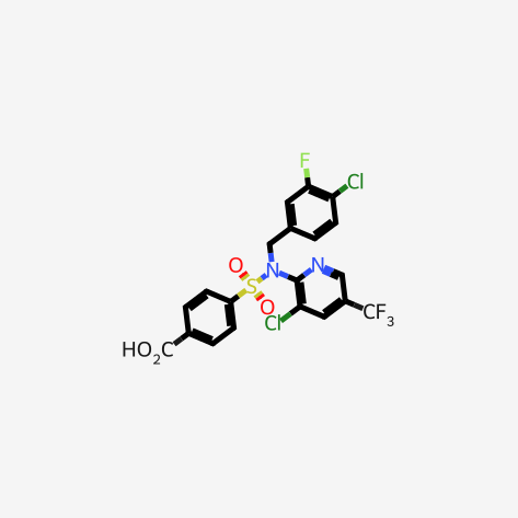 O=C(O)c1ccc(S(=O)(=O)N(Cc2ccc(Cl)c(F)c2)c2ncc(C(F)(F)F)cc2Cl)cc1